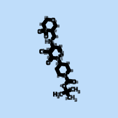 CC(C)(C)OC(=O)N1CCC(n2ncc(NCC3COCCS3(=O)=O)c(Cl)c2=O)CC1